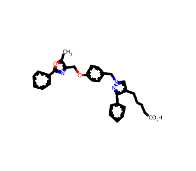 Cc1oc(-c2ccccc2)nc1COc1ccc(Cn2cc(CCCCC(=O)O)c(-c3ccccc3)n2)cc1